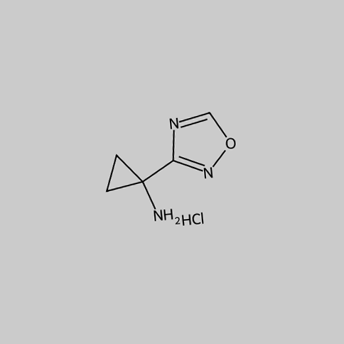 Cl.NC1(c2ncon2)CC1